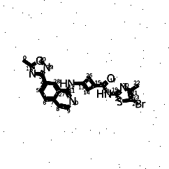 Cc1nc(-c2ccc3ccnc(NC4CC(C(=O)Nc5nc(C)c(Br)s5)C4)c3c2)no1